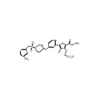 CCOC(=O)COc1c(C(=O)OC(C)(C)C)sc(-c2cccc(OC3CCN(S(=O)(=O)Cc4cccc([N+](=O)[O-])c4)CC3)c2)c1Cl